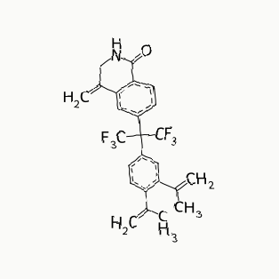 C=C(C)c1ccc(C(c2ccc3c(c2)C(=C)CNC3=O)(C(F)(F)F)C(F)(F)F)cc1C(=C)C